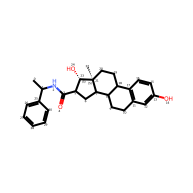 CC(NC(=O)C1CC2C3CCc4cc(O)ccc4C3CC[C@]2(C)[C@H]1O)c1ccccc1